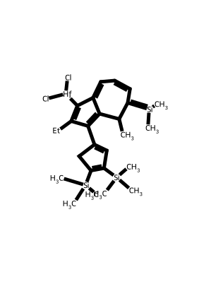 CCC1=[C]([Hf]([Cl])[Cl])C2=CC=CC(=[Si](C)C)C(C)C2=C1C1=CC([Si](C)(C)C)=C([Si](C)(C)C)C1